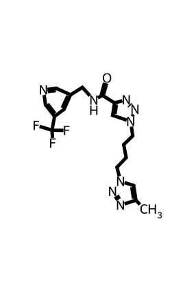 Cc1cn(CCCCn2cc(C(=O)NCc3cncc(C(F)(F)F)c3)nn2)nn1